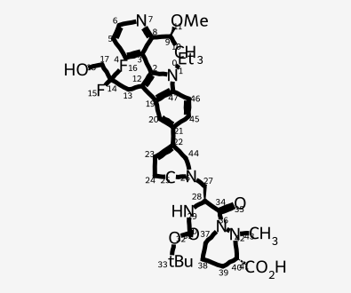 CCn1c(-c2cccnc2[C@H](C)OC)c(CC(F)(F)CO)c2cc(C3=CCCN(C[C@H](NC(=O)OC(C)(C)C)C(=O)N4CCC[C@@H](C(=O)O)N4C)C3)ccc21